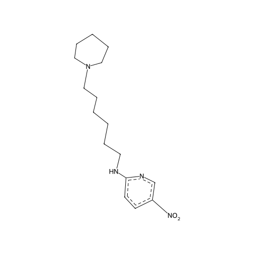 O=[N+]([O-])c1ccc(NCCCCCCN2CCCCC2)nc1